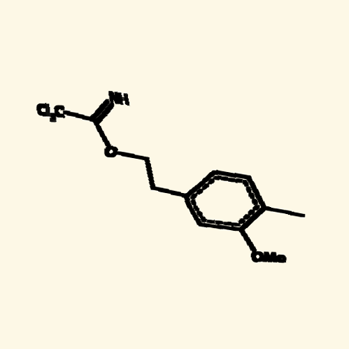 COc1cc(CCOC(=N)C(Cl)(Cl)Cl)ccc1C